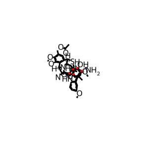 COc1ccc2[nH]c3c(c2c1)C[C@@H](CN)N[C@]31CS[C@@H]2c3c(OC(C)=O)c(C)c4c(c3[C@H](COC1=O)N1[C@@H]2C2c3c(cc(C)c(OC)c3O)CC1(C#N)CN2C)OCO4